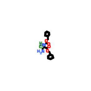 Cl.NC[C@@H](NC(=O)OCc1ccccc1)C(=O)OCc1ccccc1